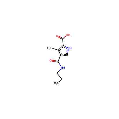 CCCNC(=O)c1c[nH]c(C(=O)O)c1C